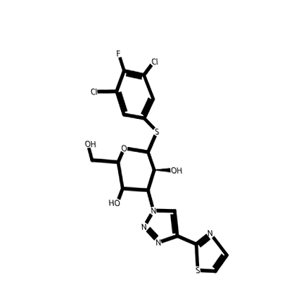 OCC1OC(Sc2cc(Cl)c(F)c(Cl)c2)[C@@H](O)C(n2cc(-c3nccs3)nn2)C1O